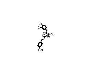 CCCCN(NC(=O)CCc1ccc(O)cc1)C(=O)Cc1ccc(Cl)c(Cl)c1